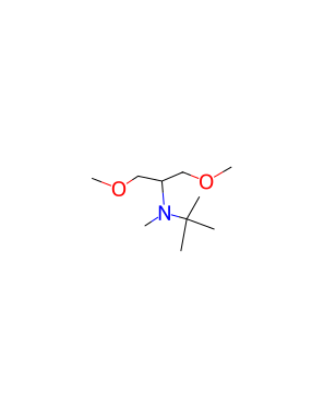 COCC(COC)N(C)C(C)(C)C